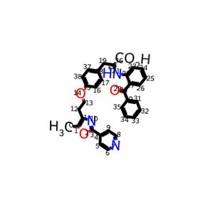 Cc1oc(-c2ccncc2)nc1CCOc1ccc(C[C@H](Nc2ccccc2C(=O)c2ccccc2)C(=O)O)cc1